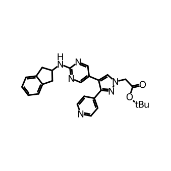 CC(C)(C)OC(=O)Cn1cc(-c2cnc(NC3Cc4ccccc4C3)nc2)c(-c2ccncc2)n1